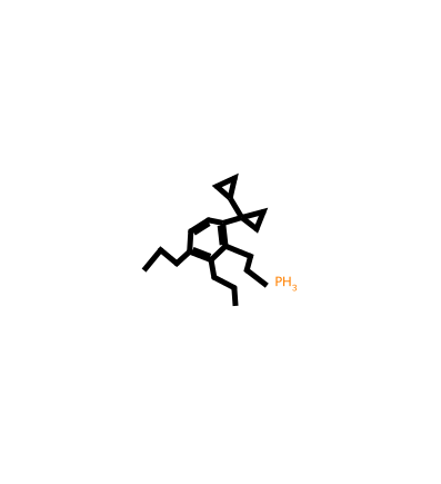 CCCc1ccc(C2(C3CC3)CC2)c(CCC)c1CCC.P